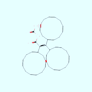 O=C(O)OC(=O)C(=C(C1CCCCCCCCCCC1)C1CCCCCCCCCCC1)C1CCCCCCCCCCC1